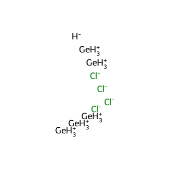 [Cl-].[Cl-].[Cl-].[Cl-].[GeH3+].[GeH3+].[GeH3+].[GeH3+].[GeH3+].[H-]